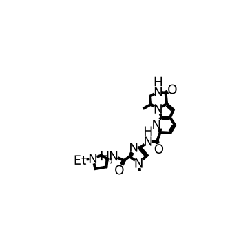 CCN1CC[C@@H](NC(=O)c2nc(NC(=O)c3ccc4cc5n(c4n3)C(C)CNC5=O)cn2C)C1